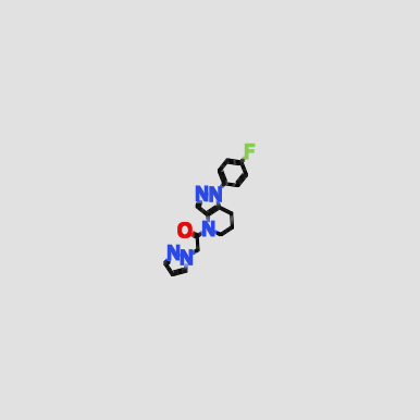 O=C(Cn1cccn1)N1CCCc2c1cnn2-c1ccc(F)cc1